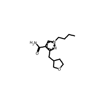 CCCCn1cc(C(N)=O)c(CC2CCOC2)n1